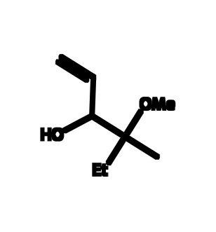 C=CC(O)C(C)(CC)OC